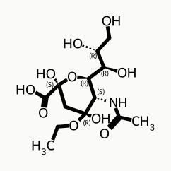 CCO[C@]1(O)C[C@@](O)(C(=O)O)O[C@@H]([C@H](O)[C@H](O)CO)[C@@H]1NC(C)=O